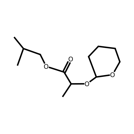 CC(C)COC(=O)C(C)OC1CCCCO1